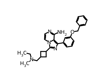 CCN(C)CC1CC(c2nc(-c3cccc(OCc4ccccc4)c3)c3c(N)nccn23)C1